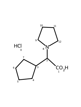 Cl.O=C(O)C(C1CCCC1)N1CCCC1